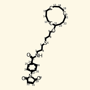 O=C(NCCCSCCCOC1CCCCCCCCCCCC1)c1ccc(N2C(=O)C=CC2=O)cc1